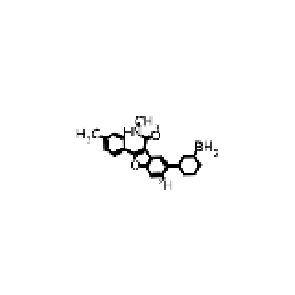 [2H]c1cc2oc(-c3ccc(C)cc3)c(C(=O)NC)c2cc1C1CCCC(B)C1